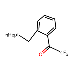 CCCCCCCCc1ccccc1C(=O)C(F)(F)F